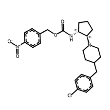 O=C(N[C@@H]1CCC[C@H]1N1CCC(Cc2ccc(Cl)cc2)CC1)OCc1ccc([N+](=O)[O-])cc1